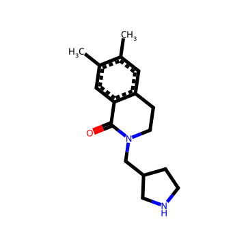 Cc1cc2c(cc1C)C(=O)N(CC1CCNC1)CC2